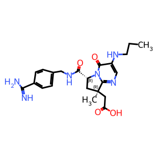 CCCNc1cnc2n(c1=O)[C@@H](C(=O)NCc1ccc(C(=N)N)cc1)C[C@]2(C)CC(=O)O